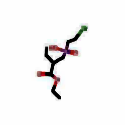 CCOC(=O)C(CC)CP(=O)(O)CCBr